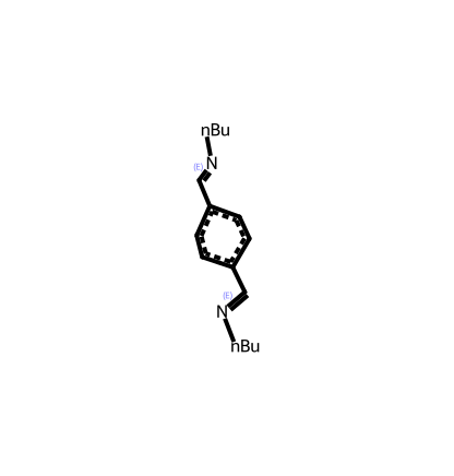 CCCC/N=C/c1ccc(/C=N/CCCC)cc1